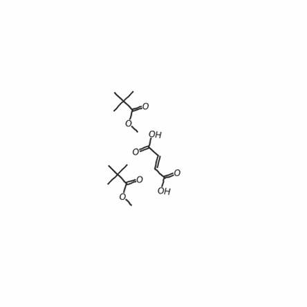 COC(=O)C(C)(C)C.COC(=O)C(C)(C)C.O=C(O)/C=C/C(=O)O